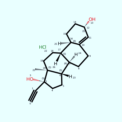 C#C[C@]1(O)CC[C@H]2[C@@H]3CCC4=C[C@@H](O)CC[C@@H]4[C@H]3CC[C@@]21C.Cl